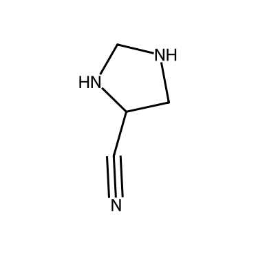 N#CC1CNCN1